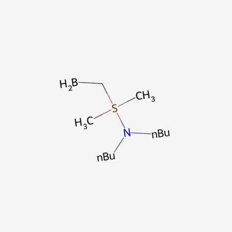 BCS(C)(C)N(CCCC)CCCC